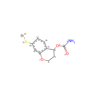 NC(=O)OC1CCOc2cc(SBr)ccc21